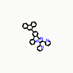 c1ccc(-c2nc3c4ccc(-c5cc6ccccc6c6ccccc56)cc4c4ccccc4n3c2-c2ccccn2)nc1